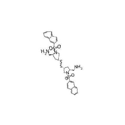 NC[C@@H]1C[C@@H](SS[C@@H]2C[C@@H](CN)N(S(=O)(=O)c3ccc4ccccc4c3)C2)CN1S(=O)(=O)c1ccc2ccccc2c1